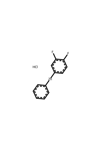 Cl.Fc1cc[c]([Zn][c]2ccccc2)cc1F